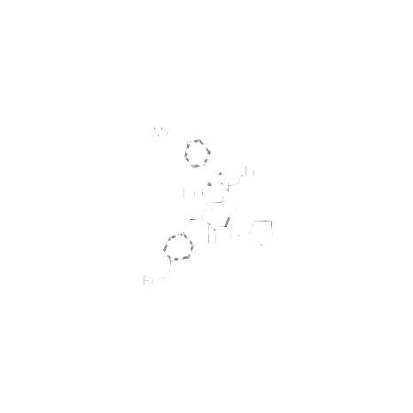 CCCCOc1ccc(C[C@H](NC(=O)O[C@@H]2CCOC2)[C@H](O)CN(CC(C)C)S(=O)(=O)c2ccc(OC)cc2)cc1